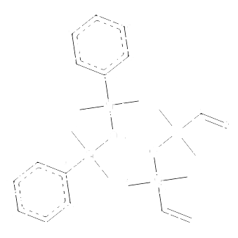 C=C[Si](C)(C)O[Si](C)(C)C=C.C[Si](C)(O[Si](C)(C)c1ccccc1)c1ccccc1